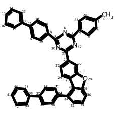 Cc1ccc(-c2nc(-c3ccc(-c4ccccc4)cc3)nc(-c3ccc4c(c3)oc3cccc(-c5ccc(-c6ccccc6)cc5)c34)n2)cc1